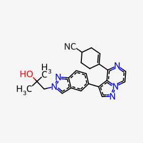 CC(C)(O)Cn1cc2cc(-c3cnn4ccnc(C5=CCC(C#N)CC5)c34)ccc2n1